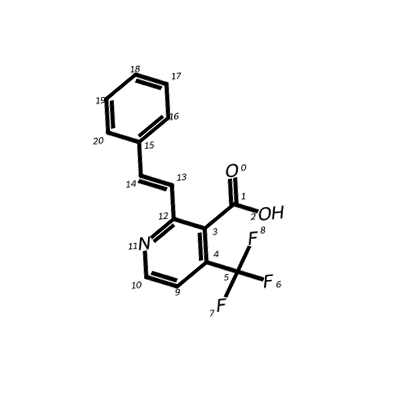 O=C(O)c1c(C(F)(F)F)ccnc1C=Cc1ccccc1